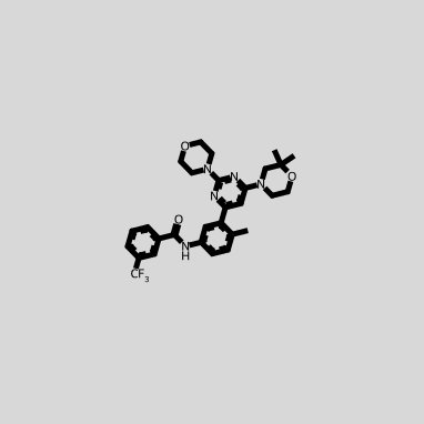 Cc1ccc(NC(=O)c2cccc(C(F)(F)F)c2)cc1-c1cc(N2CCOC(C)(C)C2)nc(N2CCOCC2)n1